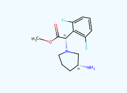 COC(=O)[C@H](c1c(F)cccc1F)N1CCC[C@@H](N)C1